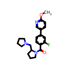 COc1ccc(-c2ccc(C(=O)N3CCCC3CN3CCCC3)c(F)c2)cn1